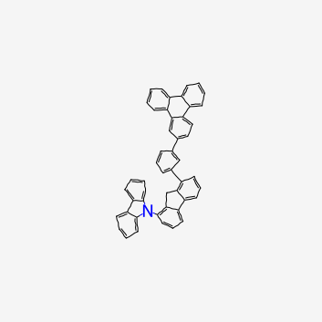 c1cc(-c2ccc3c4ccccc4c4ccccc4c3c2)cc(-c2cccc3c2Cc2c-3cccc2-n2c3ccccc3c3ccccc32)c1